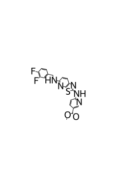 COC(=O)c1ccc(Nc2nc3ccc(NCc4ccc(F)c(F)c4)nc3s2)nc1